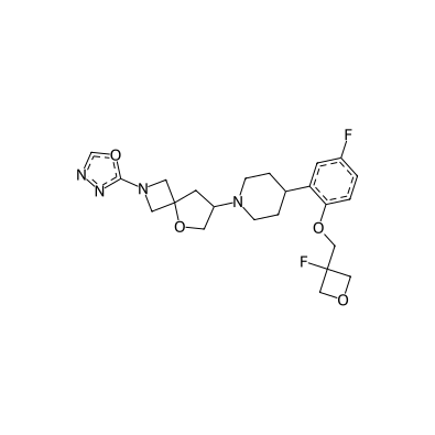 Fc1ccc(OCC2(F)COC2)c(C2CCN(C3COC4(C3)CN(c3nnco3)C4)CC2)c1